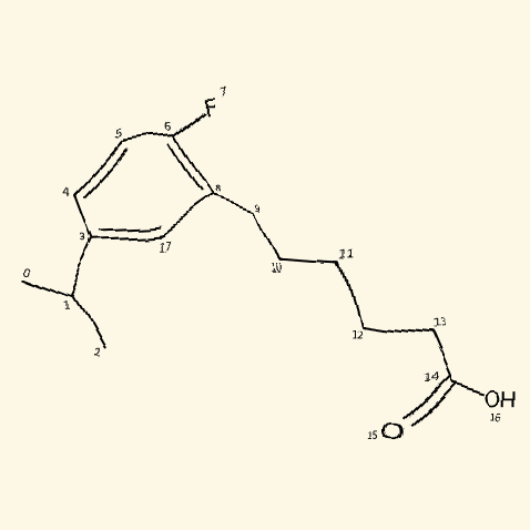 CC(C)c1ccc(F)c(CCCCCC(=O)O)c1